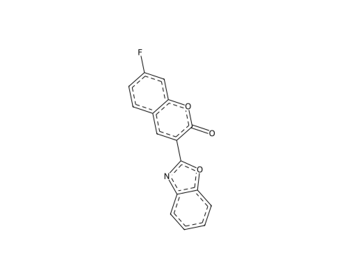 O=c1oc2cc(F)ccc2cc1-c1nc2ccccc2o1